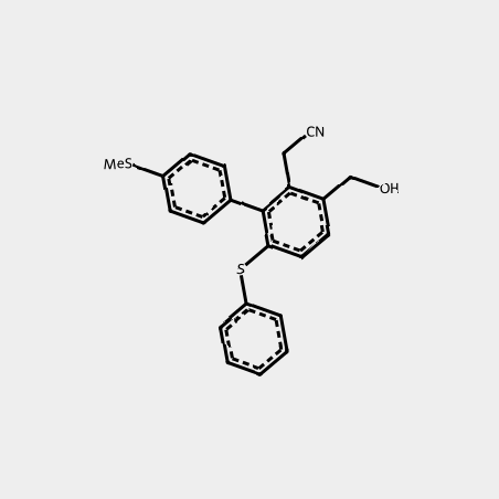 CSc1ccc(-c2c(Sc3ccccc3)ccc(CO)c2CC#N)cc1